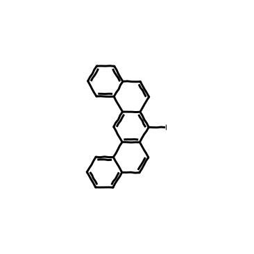 Ic1c2ccc3ccccc3c2cc2c1ccc1ccccc12